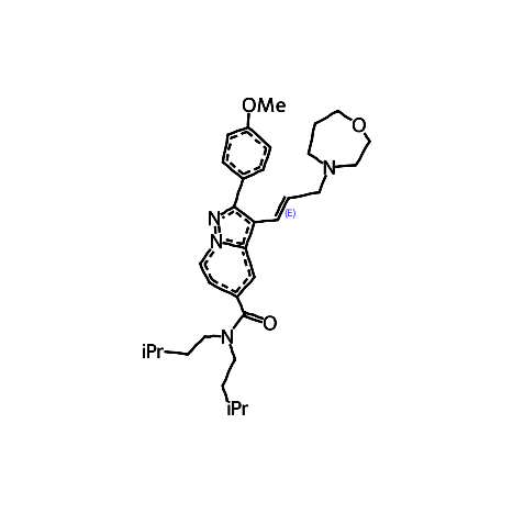 COc1ccc(-c2nn3ccc(C(=O)N(CCC(C)C)CCC(C)C)cc3c2/C=C/CN2CCCOCC2)cc1